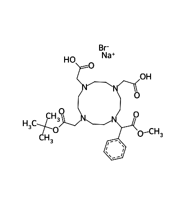 COC(=O)C(c1ccccc1)N1CCN(CC(=O)O)CCN(CC(=O)O)CCN(CC(=O)OC(C)(C)C)CC1.[Br-].[Na+]